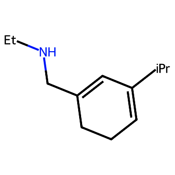 CCNCC1=CC(C(C)C)=CCC1